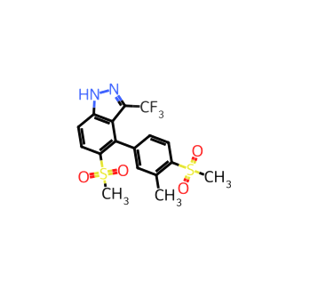 Cc1cc(-c2c(S(C)(=O)=O)ccc3[nH]nc(C(F)(F)F)c23)ccc1S(C)(=O)=O